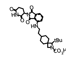 CC(C)(C)C1N(C(=O)O)CC12CCC(CCNc1cccc3c1C(=O)N(C1CCC(=O)NC1=O)C3=O)CC2